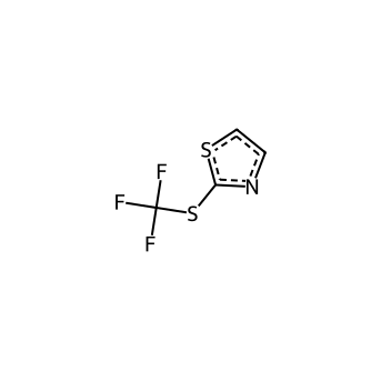 FC(F)(F)Sc1nccs1